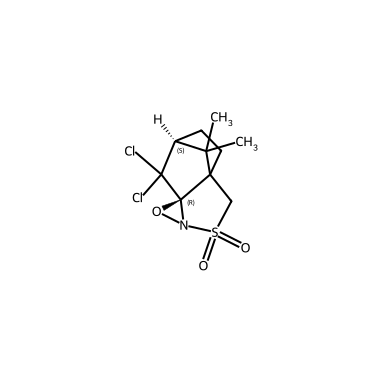 CC1(C)[C@@H]2CCC13CS(=O)(=O)N1O[C@]13C2(Cl)Cl